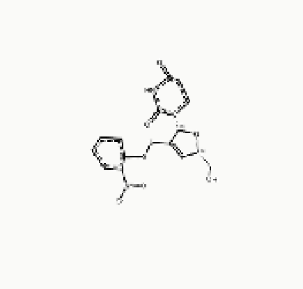 O=c1ccn([C@@H]2O[C@H](CO)C=C2SSc2ccccc2[N+](=O)[O-])c(=O)[nH]1